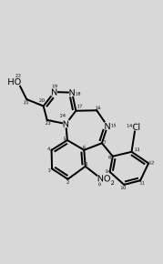 O=[N+]([O-])c1cccc2c1C(c1ccccc1Cl)=NCC1=NN=C(CO)CN12